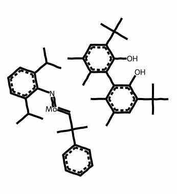 CC(C)c1cccc(C(C)C)c1[N]=[Mo]=[CH]C(C)(C)c1ccccc1.Cc1cc(C(C)(C)C)c(O)c(-c2c(C)c(C)cc(C(C)(C)C)c2O)c1C